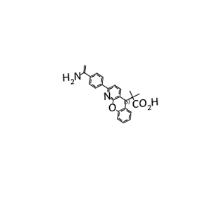 C=C(N)c1ccc(-c2ccc3c(n2)Oc2ccccc2[C@@H]3C(C)(C)C(=O)O)cc1